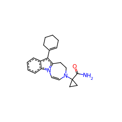 NC(=O)C1(N2C=Cn3c(c(C4=CCCCC4)c4ccccc43)CC2)CC1